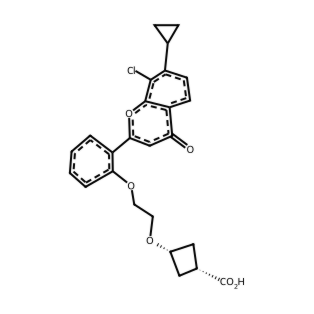 O=c1cc(-c2ccccc2OCCO[C@H]2C[C@@H](C(=O)O)C2)oc2c(Cl)c(C3CC3)ccc12